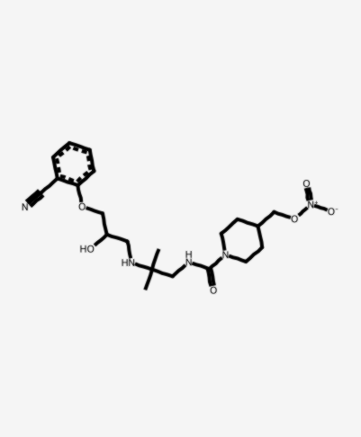 CC(C)(CNC(=O)N1CCC(CO[N+](=O)[O-])CC1)NCC(O)COc1ccccc1C#N